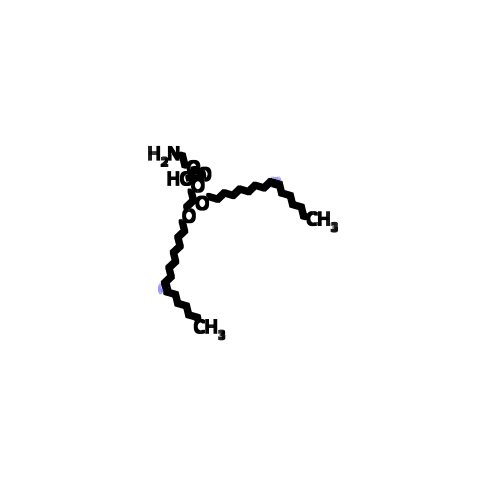 CCCCCC/C=C\CCCCCCCCOCC(COP(=O)(O)OCCN)OCCCCCCCC/C=C\CCCCCC